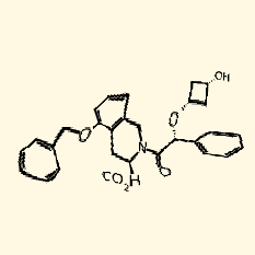 O=C(O)[C@H]1Cc2c(cccc2OCc2ccccc2)CN1C(=O)[C@H](O[C@H]1C[C@@H](O)C1)c1ccccc1